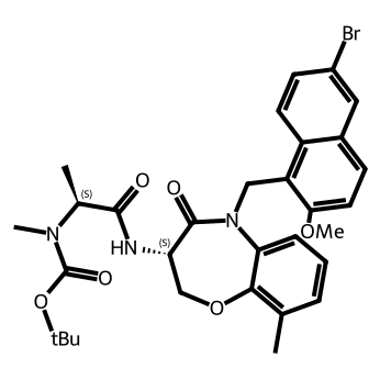 COc1ccc2cc(Br)ccc2c1CN1C(=O)[C@@H](NC(=O)[C@H](C)N(C)C(=O)OC(C)(C)C)COc2c(C)cccc21